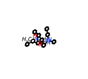 CC1CC2C(=CC1c1ccccc1)c1ccccc1N2c1c(-c2ccc3c(c2)oc2cccc(C4=NC(c5ccccc5)=NC(c5ccc(-c6ccccc6)cc5)N4C)c23)ccc2c1oc1ccccc12